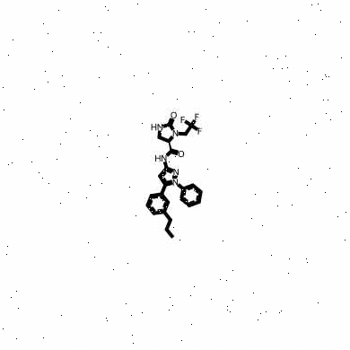 CCCc1cccc(-c2cc(NC(=O)[C@H]3CNC(=O)N3CC(F)(F)F)nn2-c2ccccc2)c1